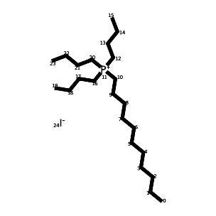 CCCCCCCCCCC[P+](CCCC)(CCCC)CCCC.[I-]